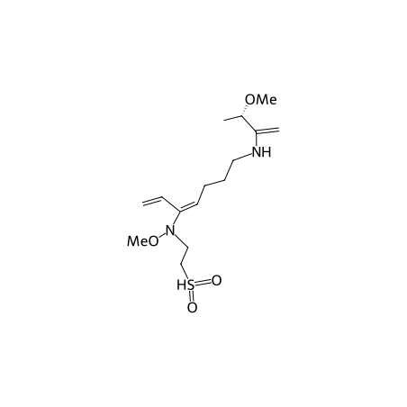 C=C/C(=C\CCCNC(=C)[C@H](C)OC)N(CC[SH](=O)=O)OC